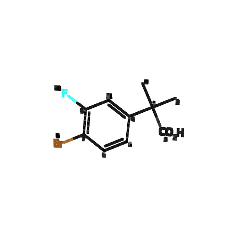 CC(C)(C(=O)O)c1ccc(Br)c(F)c1